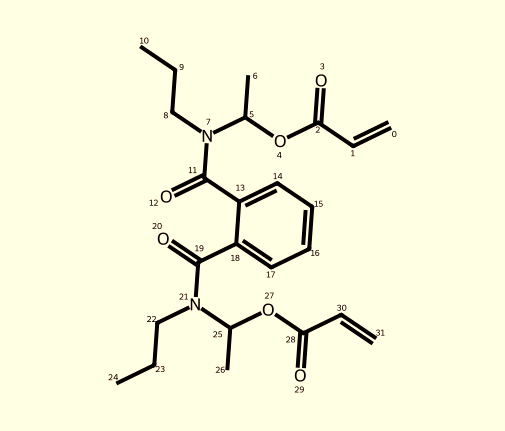 C=CC(=O)OC(C)N(CCC)C(=O)c1ccccc1C(=O)N(CCC)C(C)OC(=O)C=C